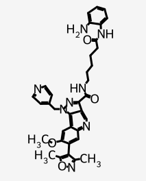 COc1cc2c(cc1-c1c(C)noc1C)ncc1c(C(=O)NCCCCCC(=O)Nc3ccccc3N)nn(Cc3ccncc3)c12